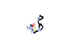 CC(=O)Nc1ncc(CN2CCCC(Cc3cccc(C)n3)C2)s1